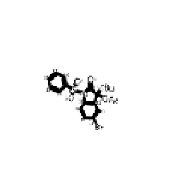 CCCCC1(OC(C)=O)C(=O)N(S(=O)(=O)c2ccccc2)c2ccc(Br)cc21